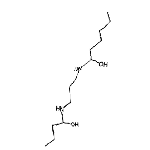 CCCCCC(O)NCCCNC(O)CCC